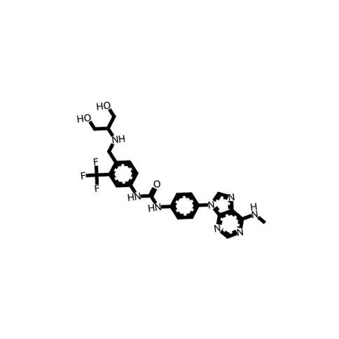 CNc1ncnc2c1ncn2-c1ccc(NC(=O)Nc2ccc(CNC(CO)CO)c(C(F)(F)F)c2)cc1